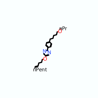 CCCCC/C=C/CCCOc1cnc(-c2ccc(CCCCCOCCC)cc2)nc1